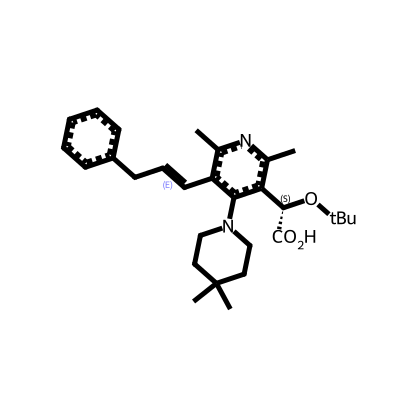 Cc1nc(C)c([C@H](OC(C)(C)C)C(=O)O)c(N2CCC(C)(C)CC2)c1/C=C/Cc1ccccc1